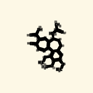 COc1cc2c(c(OC)c1OC)-c1ccc(=O)c(C(=O)O)cc1[C@@H](NC(C)=O)CC2